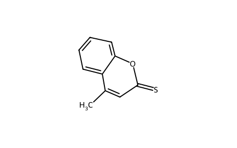 Cc1cc(=S)oc2ccccc12